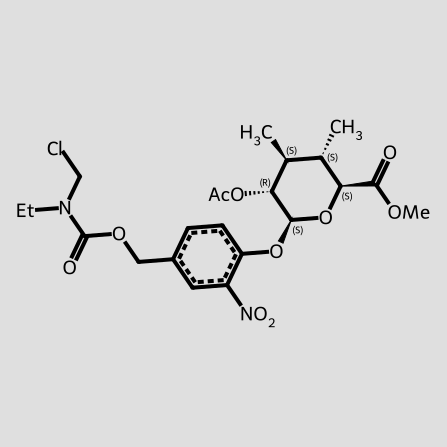 CCN(CCl)C(=O)OCc1ccc(O[C@@H]2O[C@H](C(=O)OC)[C@@H](C)[C@H](C)[C@H]2OC(C)=O)c([N+](=O)[O-])c1